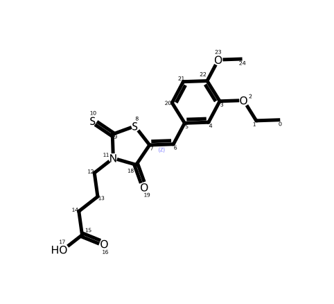 CCOc1cc(/C=C2\SC(=S)N(CCCC(=O)O)C2=O)ccc1OC